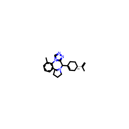 C=C(C)[C@@H]1CC=C(C(c2nncn2-c2c(C)cccc2C)N2CCCC2)CC1